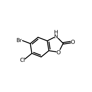 O=c1[nH]c2cc(Br)c(Cl)cc2o1